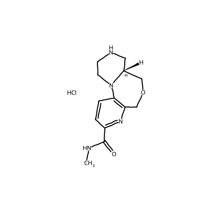 CNC(=O)c1ccc2c(n1)COC[C@H]1CNCCN21.Cl